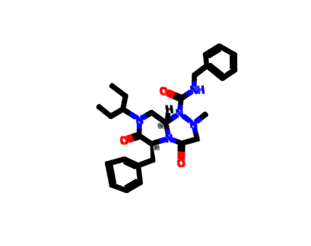 CCC(CC)N1C[C@H]2N(C(=O)CN(C)N2C(=O)NCc2ccccc2)[C@@H](Cc2ccccc2)C1=O